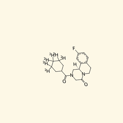 [2H]C1([2H])CC(C(=O)N2CC(=O)N3CCc4ccc(F)cc4[C@@H]3C2)CC([2H])([2H])C1([2H])[2H]